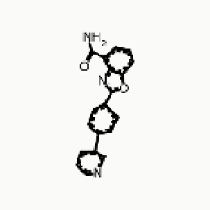 NC(=O)c1cccc2oc(-c3ccc(-c4cccnc4)cc3)nc12